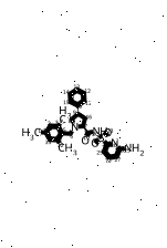 Cc1cc(C)c(CN2C[C@H](c3ccccc3)C[C@H]2C(=O)NS(=O)(=O)c2cccc(N)n2)c(C)c1